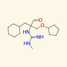 CNC(=N)NC(C=O)(COC1CCCC1)CC1CCCCC1